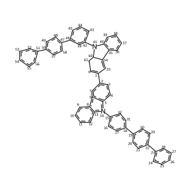 C1=C(c2ccc3c(c2)c2ccccc2n3-c2ccc(-c3ccc(-c4ccccc4)cc3)cc2)C=C2c3ccccc3N(c3cccc(-c4ccc(-c5ccccc5)cc4)c3)C2C1